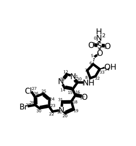 NS(=O)(=O)OC[C@H]1C[C@@H](Nc2ncncc2C(=O)c2ccn(Cc3ccc(Cl)c(Br)c3)c2)C[C@@H]1O